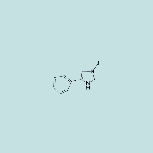 IN1C=C(c2ccccc2)NC1